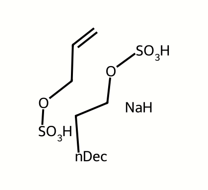 C=CCOS(=O)(=O)O.CCCCCCCCCCCCOS(=O)(=O)O.[NaH]